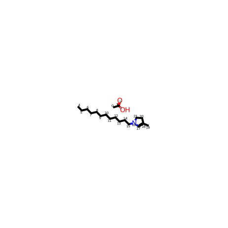 CC(=O)O.CCCCCCCCCCCCN1C=C(C)CC1